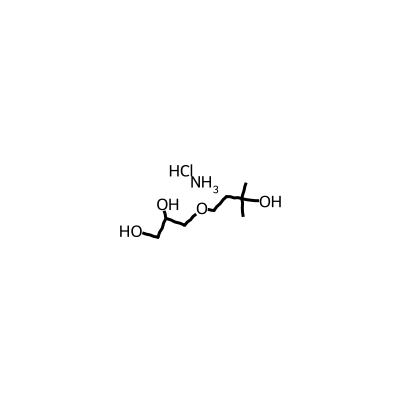 CC(C)(O)CCOCC(O)CO.Cl.N